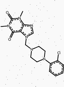 Cn1c(=O)c2c(ncn2CN2CCN(c3ccccc3Cl)CC2)n(C)c1=O